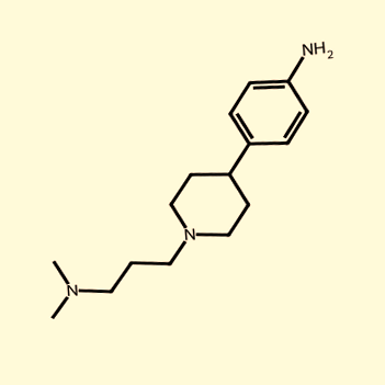 CN(C)CCCN1CCC(c2ccc(N)cc2)CC1